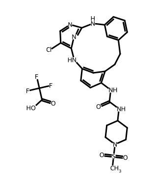 CS(=O)(=O)N1CCC(NC(=O)Nc2ccc3cc2CCc2cccc(c2)Nc2ncc(Cl)c(n2)N3)CC1.O=C(O)C(F)(F)F